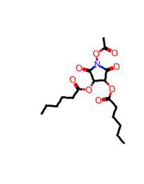 CCCCCC(=O)OC1C(=O)N(OC(C)=O)C(=O)C1OC(=O)CCCCC